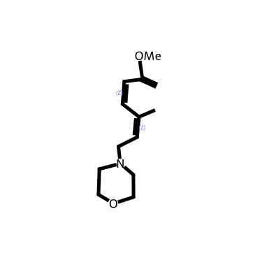 C=C(/C=C\C(C)=C/CN1CCOCC1)OC